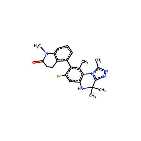 Cc1c(-c2cccc3c2CCC(=O)N3C)c(F)cc2c1-n1c(C)nnc1C(C)(C)N2